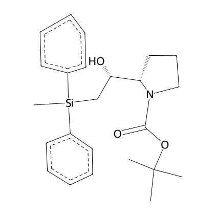 CC(C)(C)OC(=O)N1CCC[C@H]1[C@@H](O)C[Si](C)(c1ccccc1)c1ccccc1